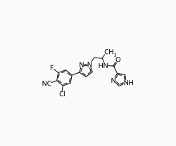 CC(Cn1ccc(-c2cc(F)c(C#N)c(Cl)c2)n1)NC(=O)c1c[nH]cn1